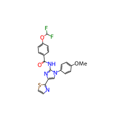 COc1ccc(-n2cc(-c3nccs3)nc2NC(=O)c2ccc(OC(F)F)cc2)cc1